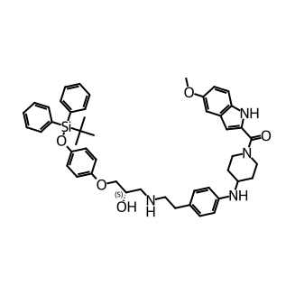 COc1ccc2[nH]c(C(=O)N3CCC(Nc4ccc(CCNC[C@H](O)COc5ccc(O[Si](c6ccccc6)(c6ccccc6)C(C)(C)C)cc5)cc4)CC3)cc2c1